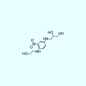 O=[N+]([O-])c1cc(NCC(O)CO)ccc1NCCO